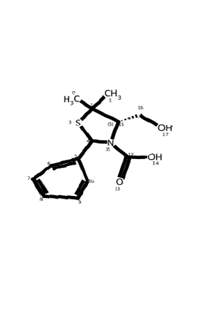 CC1(C)SC(c2ccccc2)N(C(=O)O)[C@H]1CO